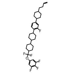 C=CCCC1CCC(c2ccc(C3CCC(C4CCC(C(F)(F)Oc5cc(F)c(F)c(F)c5)CC4)CC3)c(F)c2)CC1